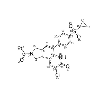 CCC(=O)N1CC[C@H](/C=C(/c2ccc(S(=O)(=O)C3CC3)cc2)c2ccc(Cl)c(=O)[nH]2)C1